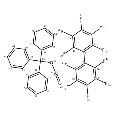 Fc1c(F)c(F)c(-c2c(F)c(F)c(F)c(F)c2F)c(F)c1F.[O]=[Al][O]C(c1ccccc1)(c1ccccc1)c1ccccc1